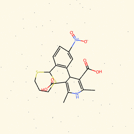 CC1=C(C(=O)O)C(c2cc([N+](=O)[O-])ccc2C2SCCCS2)C(C(=O)O)=C(C)N1